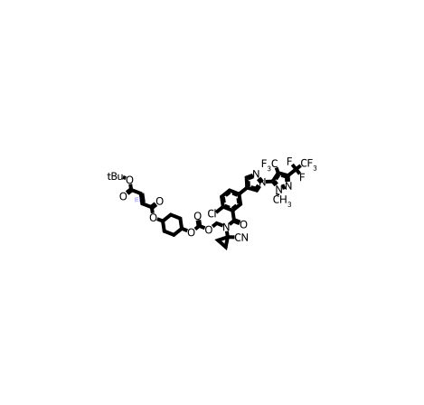 Cn1nc(C(F)(F)C(F)(F)F)c(C(F)(F)F)c1-n1cc(-c2ccc(Cl)c(C(=O)N(COC(=O)OC3CCC(OC(=O)/C=C/C(=O)OC(C)(C)C)CC3)C3(C#N)CC3)c2)cn1